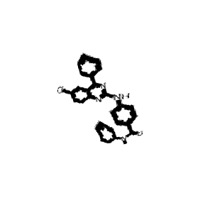 CN(C(=O)c1ccc(Nc2nc(-c3ccccc3)c3cc(Cl)ccc3n2)cc1)c1ccccc1